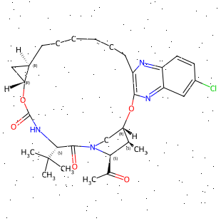 CC(=O)[C@@H]1[C@H](C)[C@@H]2CN1C(=O)[C@H](C(C)(C)C)NC(=O)O[C@@H]1C[C@H]1CCCCCCc1nc3ccc(Cl)cc3nc1O2